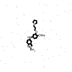 COc1ccc(Nc2ccc3nn(C)cc3c2)cc1OCCCN1CCCC1